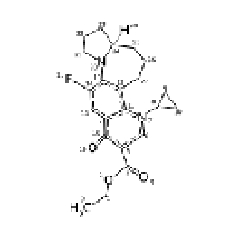 CCOC(=O)c1cn(C2CC2)c2c3c(c(F)cc2c1=O)N1CCC[C@H]1CCC3